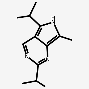 Cc1[nH]c(C(C)C)c2cnc(C(C)C)nc12